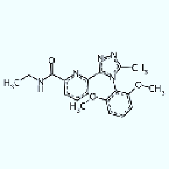 CCNC(=O)c1cccc(-c2nnc(C)n2-c2c(OC)cccc2OC)n1